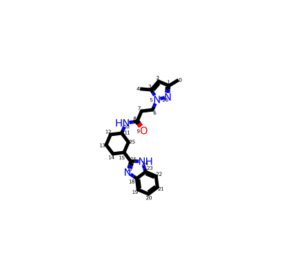 Cc1cc(C)n(CCC(=O)NC2CCCC(c3nc4ccccc4[nH]3)C2)n1